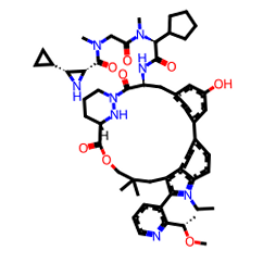 CCn1c(-c2cccnc2[C@H](C)OC)c2c3cc(ccc31)-c1cc(O)cc(c1)C[C@H](NC(=O)[C@H](C1CCCC1)N(C)C(=O)CN(C)C(=O)[C@@H]1N[C@@H]1C1CC1)C(=O)N1CCC[C@H](N1)C(=O)OCC(C)(C)C2